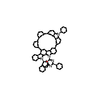 c1ccc(-c2nc(-c3ccccc3)nc(-n3c4ccc5cc4c4cc(c6cccc(c6)c6cccc(c6)c6ccc7c(c6)c6cc5ccc6n7-c5ccccc5)c5c6ccccc6n(-c6ccccc6)c5c43)n2)cc1